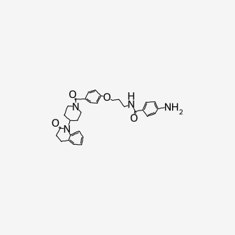 Nc1ccc(C(=O)NCCCOc2ccc(C(=O)N3CCC(N4C(=O)CCc5ccccc54)CC3)cc2)cc1